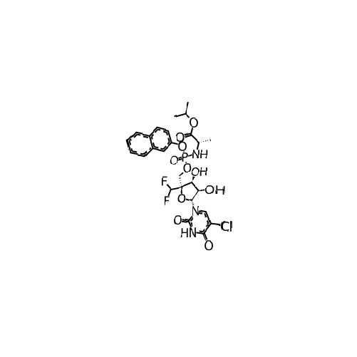 CC(C)OC(=O)[C@H](C)NP(=O)(OC[C@@]1(C(F)F)O[C@@H](n2cc(Cl)c(=O)[nH]c2=O)[C@H](O)[C@@H]1O)Oc1ccc2ccccc2c1